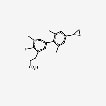 Cc1cc(-c2c(C)cc(C3CC3)cc2C)cc(CCC(=O)O)c1F